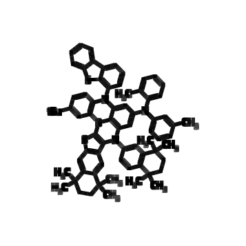 Cc1cccc(N(c2cc3c4c(c2)N(c2cccc5c2sc2ccccc25)c2ccc(C(C)(C)C)cc2B4c2sc4cc5c(cc4c2N3c2ccc3c(c2)C(C)(C)CCC3(C)C)C(C)(C)CCC5(C)C)c2ccccc2C)c1